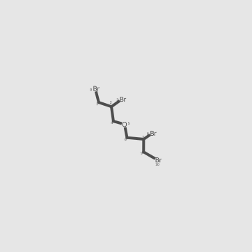 BrCC(Br)COCC(Br)CBr